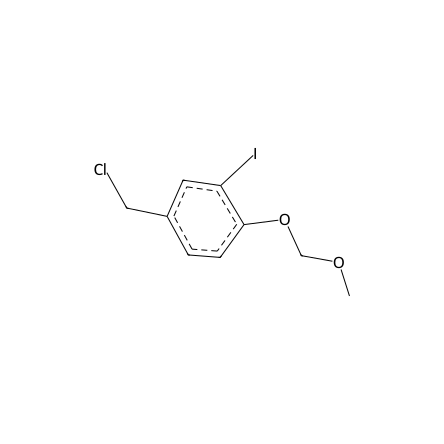 COCOc1ccc(CCl)cc1I